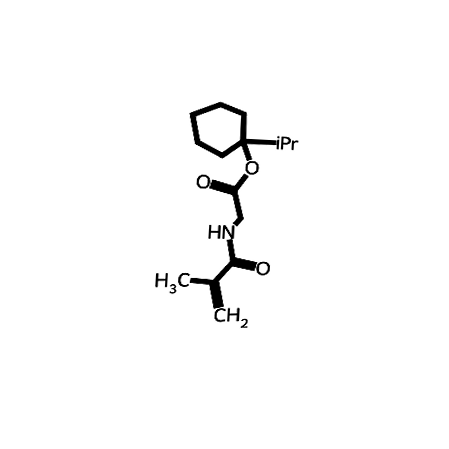 C=C(C)C(=O)NCC(=O)OC1(C(C)C)CCCCC1